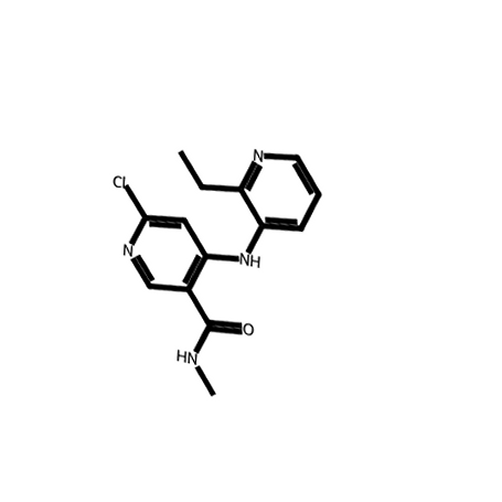 CCc1ncccc1Nc1cc(Cl)ncc1C(=O)NC